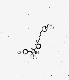 Cc1[nH]c(-c2cccc(OCCCCC3CCN(C)CC3)n2)nc1-c1ccc(Cl)cc1